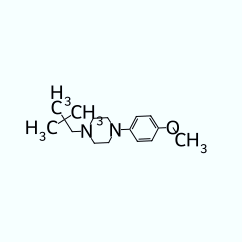 COc1ccc(N2CCN(CC(C)(C)C)CC2)cc1